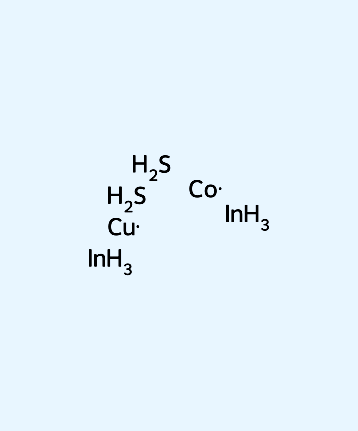 S.S.[Co].[Cu].[InH3].[InH3]